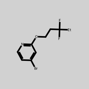 CCC(F)(F)CCOc1cc(Br)ccn1